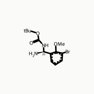 COc1c(Br)cccc1[C@@H](N)NC(=O)OC(C)(C)C